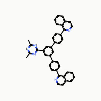 Cc1nc(C)nc(-c2cc(-c3ccc(-c4nccc5ccccc45)cc3)cc(-c3ccc(-c4nccc5ccccc45)cc3)c2)n1